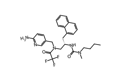 CCCCN(C)C(=O)N[C@@H](Cc1cccc2ccccc12)CN(Cc1ccc(N)nc1)C(=O)C(F)(F)F